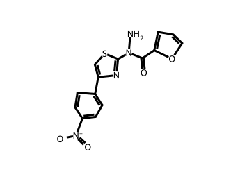 NN(C(=O)c1ccco1)c1nc(-c2ccc([N+](=O)[O-])cc2)cs1